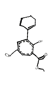 COC(=O)c1cc(Cl)cc(C2=CCCCC2)c1O